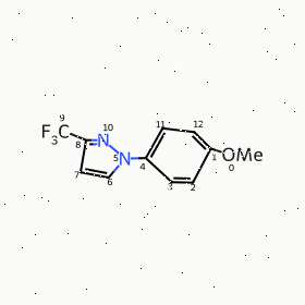 COc1ccc(-n2ccc(C(F)(F)F)n2)cc1